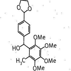 COc1c(C)c(C(O)c2ccc(C3OCCO3)cc2)c(OC)c(OC)c1OC